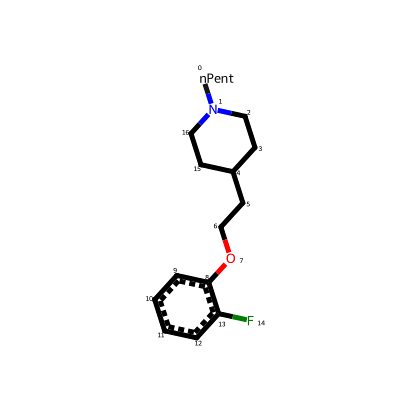 CCCCCN1CCC(CCOc2ccccc2F)CC1